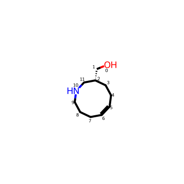 OC[C@@H]1CC/C=C\CCCNC1